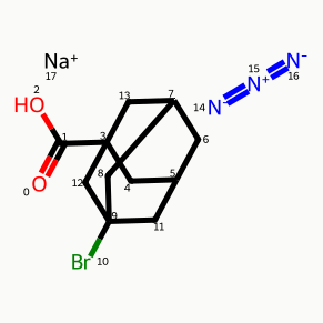 O=C(O)C12CC3CC(CC(Br)(C3)C1)C2.[N-]=[N+]=[N-].[Na+]